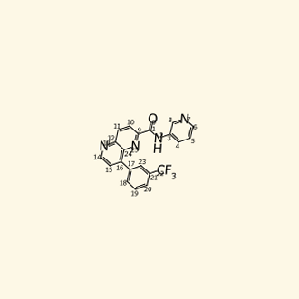 O=C(Nc1cccnc1)c1ccc2nccc(-c3cccc(C(F)(F)F)c3)c2n1